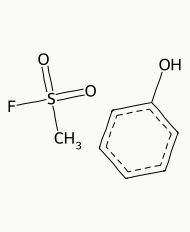 CS(=O)(=O)F.Oc1ccccc1